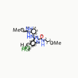 COCCCNC(=O)c1nc(N[C@H]2CCCC[C@H]2NC(=N)COC)c2cc(C)ccc2n1.Cl.Cl